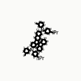 Cc1cccc(N(c2ccc(C(C)C)cc2)c2ccc3c(c2)C2(c4ccccc4-c4ccccc42)c2cc4cc(N(c5ccc(C(C)C)cc5)c5cccc(C)c5)ccc4cc2-3)c1